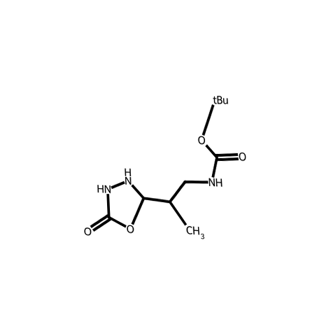 CC(CNC(=O)OC(C)(C)C)C1NNC(=O)O1